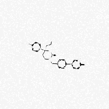 Cc1ccc([C@@]2(CCO)CCN([C@@H](C)c3ccc(-c4ccc(=O)n(C)c4)cc3)C(=O)O2)cc1